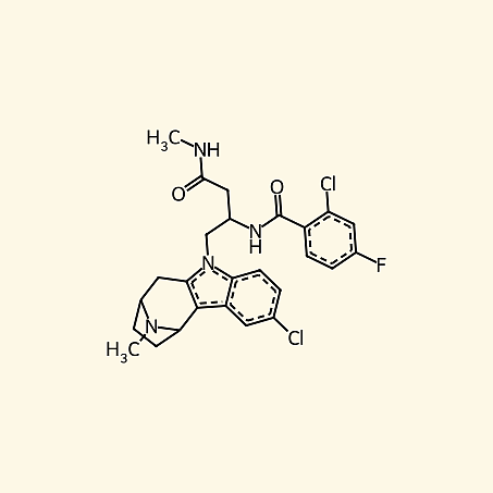 CNC(=O)CC(Cn1c2c(c3cc(Cl)ccc31)C1CCC(C2)N1C)NC(=O)c1ccc(F)cc1Cl